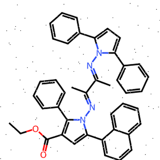 CCOC(=O)c1cc(-c2cccc3ccccc23)n(/N=C(C)/C(C)=N/n2c(-c3ccccc3)ccc2-c2ccccc2)c1-c1ccccc1